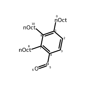 CCCCCCCCc1ccc(P=O)c(CCCCCCCC)c1CCCCCCCC